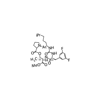 COC(=O)[C@@H](NC(=O)[C@H](Cc1cc(F)cc(F)c1)NC(=O)NCCCCC(C)C)[C@H](C)OC(=O)C1CCCN1C(C)=O